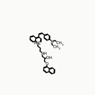 C\C=C/C(/C=C\c1ccc(N(CC)CC)cc1)=C1/C=CC=C/C1=N\CCCNCC(O)COc1cccc2ccccc12